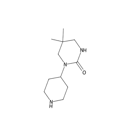 CC1(C)CNC(=O)N(C2CCNCC2)C1